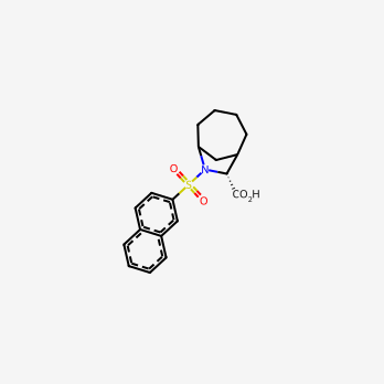 O=C(O)[C@H]1C2CCCCC(C2)N1S(=O)(=O)c1ccc2ccccc2c1